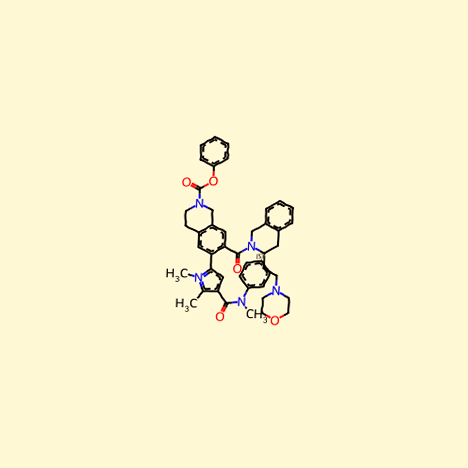 Cc1c(C(=O)N(C)c2ccccc2)cc(-c2cc3c(cc2C(=O)N2Cc4ccccc4C[C@H]2CCN2CCOCC2)CN(C(=O)Oc2ccccc2)CC3)n1C